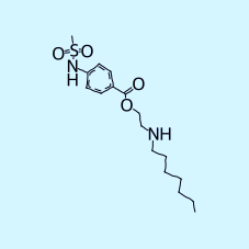 CCCCCCCNCCOC(=O)c1ccc(NS(C)(=O)=O)cc1